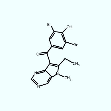 CCc1c(C(=O)c2cc(Br)c(O)c(Br)c2)c2ncncc2n1C